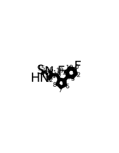 Fc1ccc(C2=CCCC2CC2=CNC(=S)[N]2)c(F)c1